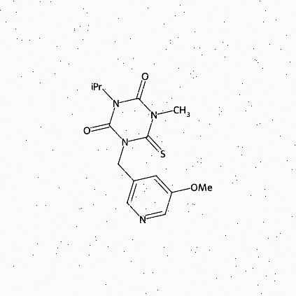 COc1cncc(Cn2c(=S)n(C)c(=O)n(C(C)C)c2=O)c1